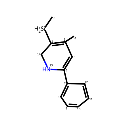 C[SiH2]C1=C(C)C=C(c2ccccc2)NC1